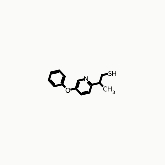 CC(CS)c1ccc(Oc2ccccc2)cn1